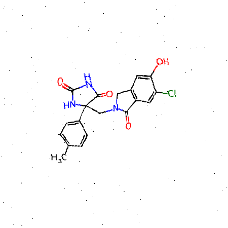 Cc1ccc(C2(CN3Cc4cc(O)c(Cl)cc4C3=O)NC(=O)NC2=O)cc1